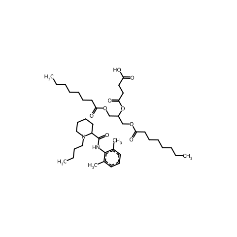 CCCCCCCC(=O)OCC(COC(=O)CCCCCCC)OC(=O)CCC(=O)O.CCCCN1CCCCC1C(=O)Nc1c(C)cccc1C